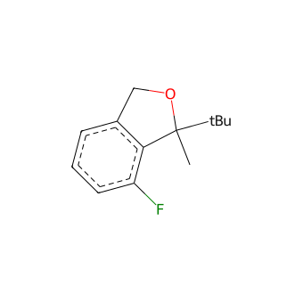 CC(C)(C)C1(C)OCc2cccc(F)c21